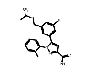 C[C@@H](OCc1cc(F)cc(-c2cc(C(N)=O)nn2-c2ccccc2F)c1)C(F)(F)F